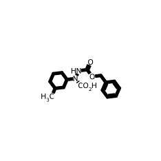 CC1CCCC(N(NC(=O)OCc2ccccc2)C(=O)O)C1